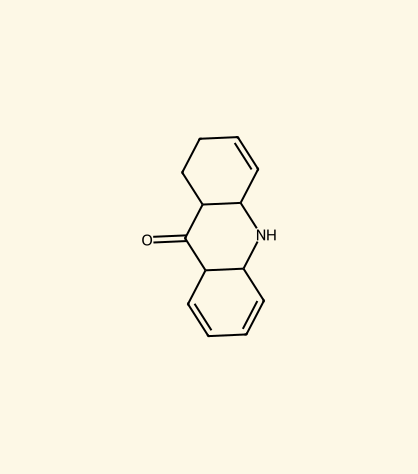 O=C1C2C=CC=CC2NC2C=CCCC12